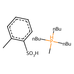 CCCC[PH](C)(CCCC)CCCC.Cc1ccccc1S(=O)(=O)O